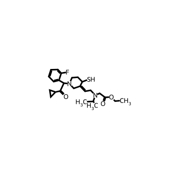 CCOC(=O)CN(C/C=C1/CN(C(C(=O)C2CC2)c2ccccc2F)CCC1S)C(C)C